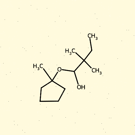 CCC(C)(C)C(O)OC1(C)CCCC1